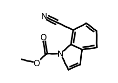 COC(=O)n1ccc2cccc(C#N)c21